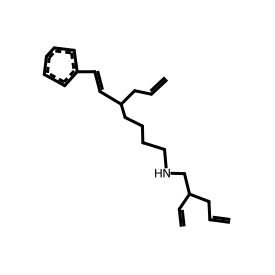 C=CCC(C=C)CNCCCCC(/C=C/c1ccccc1)CC=C